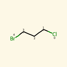 Cl[CH]C[CH]Br